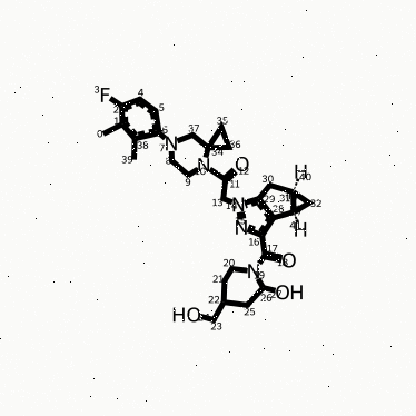 Cc1c(F)ccc(N2CCN(C(=O)Cn3nc(C(=O)N4CCC(CO)CC4O)c4c3C[C@H]3C[C@@H]43)C3(CC3)C2)c1C